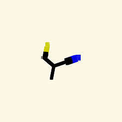 CC([C]=S)C#N